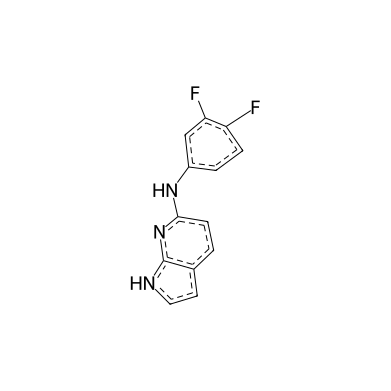 Fc1ccc(Nc2ccc3cc[nH]c3n2)cc1F